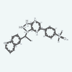 CC(c1ccc2ncccc2c1)N1NNc2ncc(-c3ccc(P(C)(C)=O)cc3)nc21